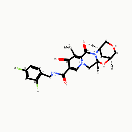 COc1c2n(cc(C(=O)NCc3ccc(F)cc3F)c1=O)C[C@H]1O[C@@H]3COC[C@@H](C3)N1C2=O